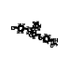 CC(=O)Nc1ccc(OCC2COC(CCc3ccc(Cl)cc3)(Cn3ccnc3)O2)cc1